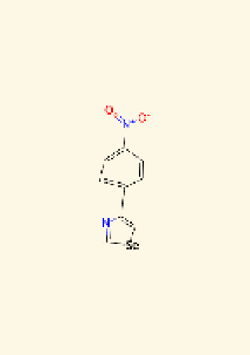 O=[N+]([O-])c1ccc(-c2c[se][c]n2)cc1